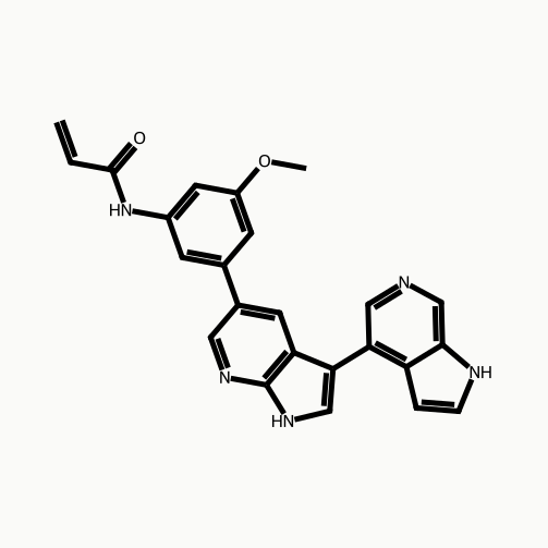 C=CC(=O)Nc1cc(OC)cc(-c2cnc3[nH]cc(-c4cncc5[nH]ccc45)c3c2)c1